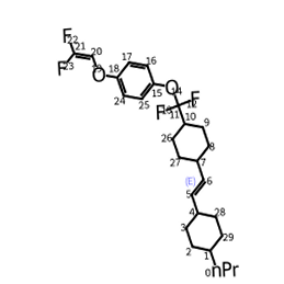 CCCC1CCC(/C=C/C2CCC(C(F)(F)Oc3ccc(OC=C(F)F)cc3)CC2)CC1